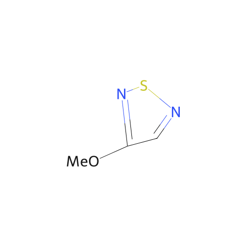 COc1cnsn1